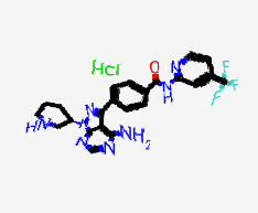 Cl.Nc1ncnc2c1c(-c1ccc(C(=O)Nc3cc(C(F)(F)F)ccn3)cc1)nn2[C@@H]1CCCNC1